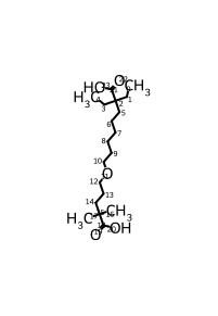 CCC(CC)(CCCCCCOCCCC(C)(C)C(=O)O)C(=O)O